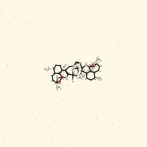 C[C@@H]1CC[C@H]2C(CO/C=N\[C@@]3(C(F)(F)F)O[C@@H]4O[C@]5(C)CCC6[C@H](C)CC[C@@H]([C@H]3C)[C@]64OO5)=C(C(F)(F)F)O[C@@H]3O[C@]4(C)CCC1[C@]32OO4